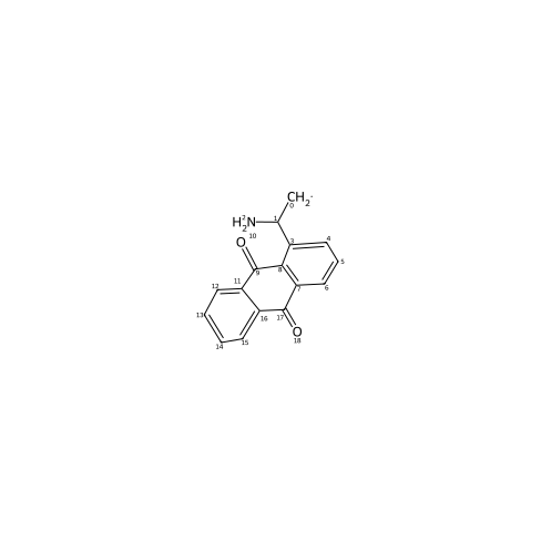 [CH2]C(N)c1cccc2c1C(=O)c1ccccc1C2=O